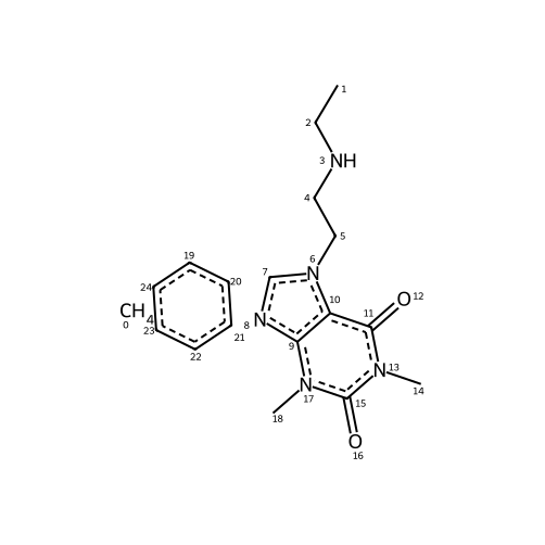 C.CCNCCn1cnc2c1c(=O)n(C)c(=O)n2C.c1ccccc1